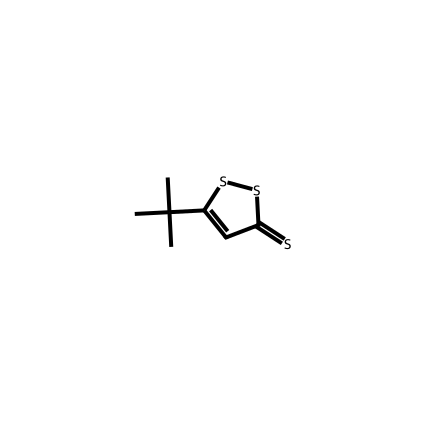 CC(C)(C)c1cc(=S)ss1